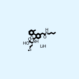 CCCCNC(=O)Cc1ccc(C(=O)N[C@@H](CCSC)C(=O)O)c(-c2ccccc2C)c1.[LiH]